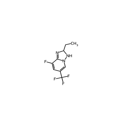 CCC1N=C2C(F)=CC(C(F)(F)F)=CN2N1